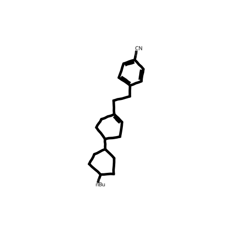 CCCCC1CCC(C2CC=C(CCc3ccc(C#N)cc3)CC2)CC1